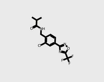 CC(C)C(=O)NCc1ccc(-c2noc(C(F)(F)F)n2)cc1Cl